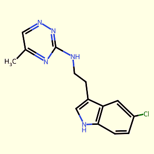 Cc1cnnc(NCCc2c[nH]c3ccc(Cl)cc23)n1